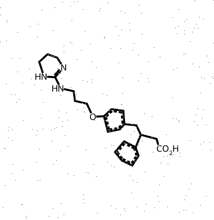 O=C(O)CC(Cc1ccc(OCCCNC2=NCCCN2)cc1)c1ccccc1